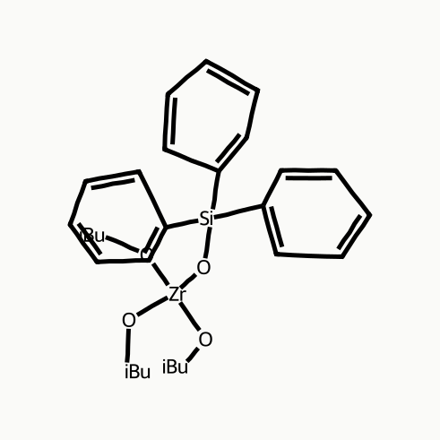 CCC(C)[O][Zr]([O]C(C)CC)([O]C(C)CC)[O][Si](c1ccccc1)(c1ccccc1)c1ccccc1